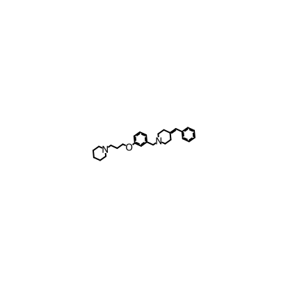 C(=C1CCN(Cc2cccc(OCCCN3CCCCC3)c2)CC1)c1ccccc1